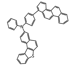 c1ccc(N(c2ccc(-c3cccc4c3ccc3c5ccccc5ccc43)cc2)c2ccc3c(ccc4sc5ccccc5c43)c2)cc1